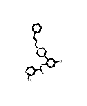 Nc1cc(C(=O)Nc2ccc(Cl)cc2C2=CCN(C/C=C/c3ccccc3)CC2)ccn1